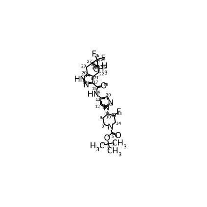 CC(C)(C)OC(=O)N1CC[C@H](n2cc(NC(=O)c3n[nH]c4c3C[C@@H]3C(F)(F)[C@]3(C)C4)cn2)[C@@H](F)C1